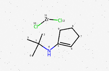 CC(C)(C)NC1=CCCC1.[Cl][Zr][Cl]